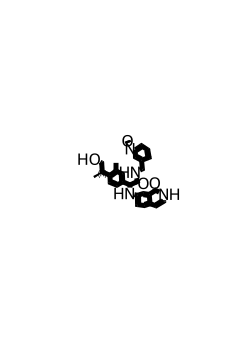 Cc1cc(C(Nc2ccc3cc[nH]c(=O)c3c2)C(=O)NCc2cccc(N=O)c2)ccc1[C@@H](C)CO